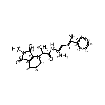 CC(C(=O)N/C(N)=C/C=C(\N)c1cccnc1)N1CCCC2=C1C(=O)N(C)C2=O